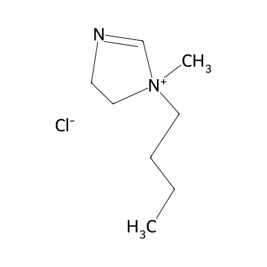 CCCC[N+]1(C)C=NCC1.[Cl-]